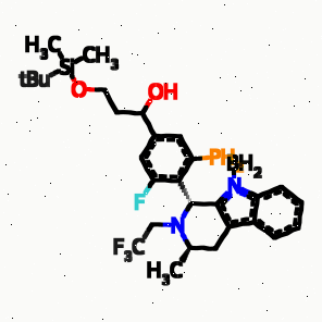 Bn1c2c(c3ccccc31)C[C@@H](C)N(CC(F)(F)F)[C@@H]2c1c(F)cc(C(O)CCO[Si](C)(C)C(C)(C)C)cc1P